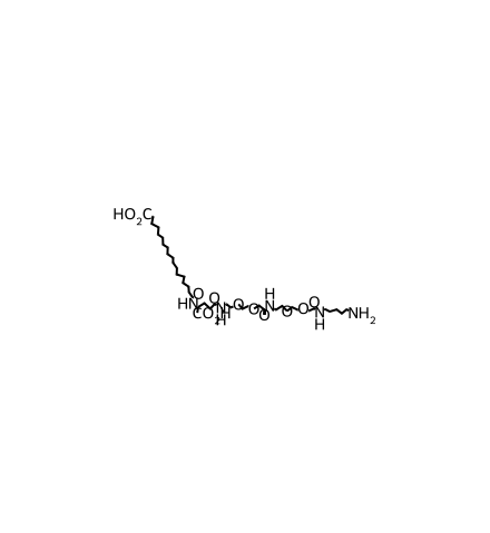 NCCCCCNC(=O)COCCOCCNC(=O)COCCOCCNC(=O)CCC(NC(=O)CCCCCCCCCCCCCCCCC(=O)O)C(=O)O